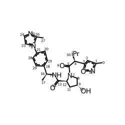 Cc1cc([C@@H](C(=O)N2C[C@H](O)C[C@H]2C(=O)N[C@@H](C)c2ccc(-n3ccnc3C)cc2)C(C)C)on1